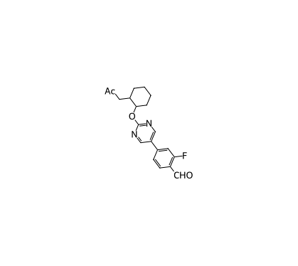 CC(=O)CC1CCCCC1Oc1ncc(-c2ccc(C=O)c(F)c2)cn1